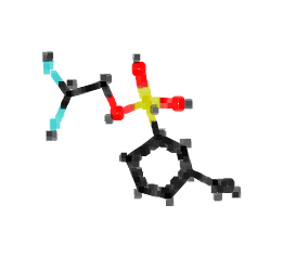 O=[N+]([O-])c1cccc(S(=O)(=O)OCC(F)F)c1